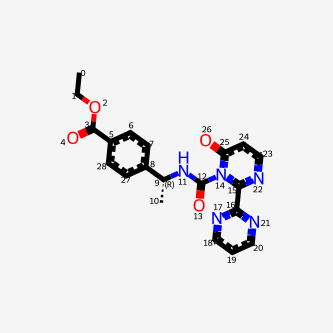 CCOC(=O)c1ccc([C@@H](C)NC(=O)n2c(-c3n[c]ccn3)n[c]cc2=O)cc1